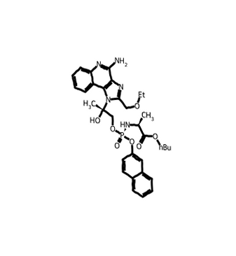 CCCCOC(=O)[C@H](C)N[P@](=O)(OC[C@](C)(O)n1c(COCC)nc2c(N)nc3ccccc3c21)Oc1ccc2ccccc2c1